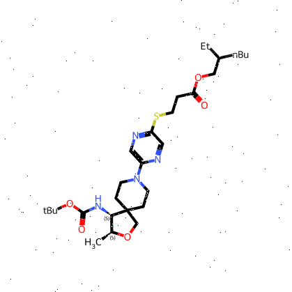 CCCCC(CC)COC(=O)CCSc1cnc(N2CCC3(CC2)CO[C@@H](C)[C@H]3NC(=O)OC(C)(C)C)cn1